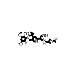 COc1cc(OC)c(F)c(N2Cc3cnc(/C(C=N)=C/NCC4CN(C(C)=O)C4)cc3C3(CC3)C2=O)c1F